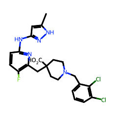 Cc1cc(Nc2ccc(F)c(CC3(C(=O)O)CCN(Cc4cccc(Cl)c4Cl)CC3)n2)n[nH]1